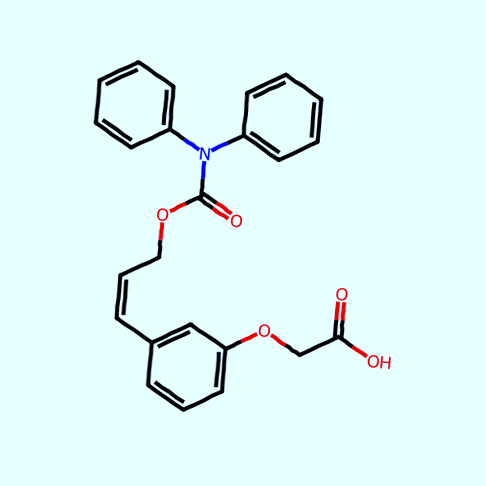 O=C(O)COc1cccc(/C=C\COC(=O)N(c2ccccc2)c2ccccc2)c1